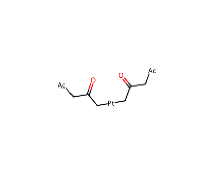 CC(=O)CC(=O)[CH2][Pt][CH2]C(=O)CC(C)=O